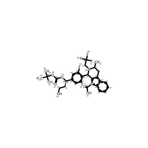 CC1Cc2c(n(C(=O)O)c3ccccc23)C(c2c(F)cc([C@@H](CCO)OC(=O)OC(C)(C)C)cc2F)N1CC(F)(F)F